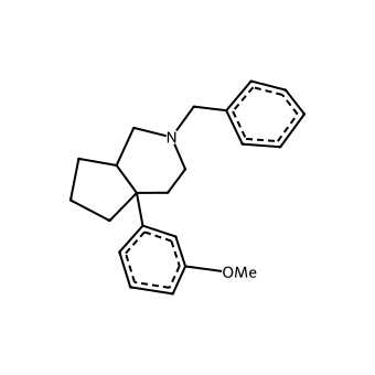 COc1cccc(C23CCCC2CN(Cc2ccccc2)CC3)c1